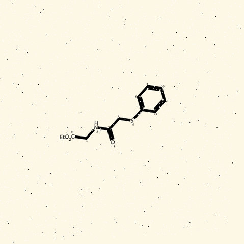 CCOC(=O)CNC(=O)CSc1ccccc1